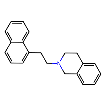 c1ccc2c(c1)CCN(CCc1cccc3ccccc13)C2